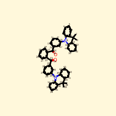 CC1(C)c2ccccc2N(c2cccc(C(=O)c3ccccc3C(=O)c3cccc(N4c5ccccc5C(C)(C)c5ccccc54)c3)c2)c2ccccc21